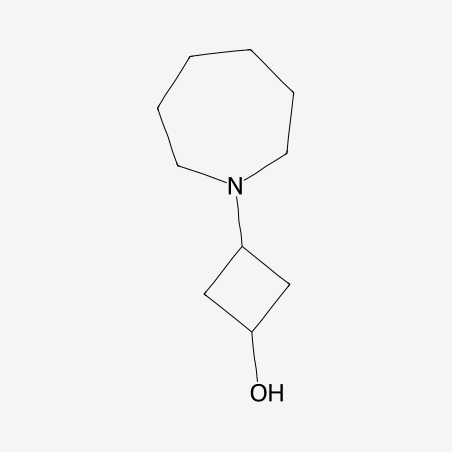 OC1CC(N2CCCCCC2)C1